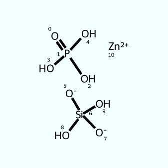 O=P(O)(O)O.[O-][Si]([O-])(O)O.[Zn+2]